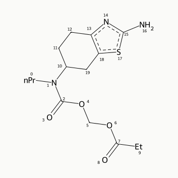 CCCN(C(=O)OCOC(=O)CC)C1CCc2nc(N)sc2C1